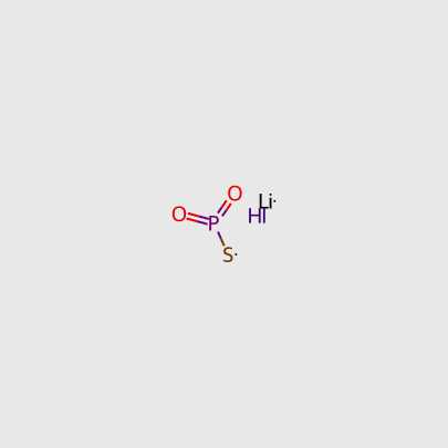 I.O=P(=O)[S].[Li]